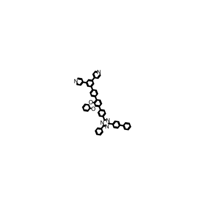 C1=CC2Oc3c(-c4ccc(-c5cc(-c6ccncc6)cc(-c6ccncc6)c5)cc4)ccc(-c4ccc(-c5nc(-c6ccccc6)nc(-c6ccc(-c7ccccc7)cc6)n5)cc4)c3OC2C=C1